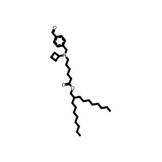 CCCCCCCCC(CCCCCCCC)COC(=O)CCCCCN(Cc1ccc(C=O)cc1)C1CCC1